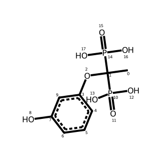 CC(Oc1cccc(O)c1)(P(=O)(O)O)P(=O)(O)O